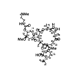 CNCCNC(=O)OC1[C@H](C)O[C@@H](O[C@H]2[C@H](C)[C@@H](O[C@@H]3O[C@H](C)C[C@H](N(C)C)[C@H]3O)[C@](C)(OC)C[C@@H](C)C(=O)[C@H](C)[C@@H](O)[C@](C)(O)[C@@H](I)OC(=O)[C@@H]2C)C[C@@]1(C)OC